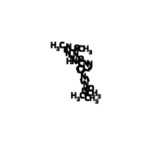 COc1nc(NC(=O)c2ccc(N3CCN(C(=O)OC(C)(C)C)CC3)c3ccnnc23)cn2cc(C)nc12